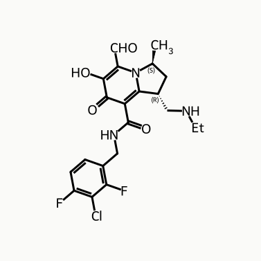 CCNC[C@H]1C[C@H](C)n2c(C=O)c(O)c(=O)c(C(=O)NCc3ccc(F)c(Cl)c3F)c21